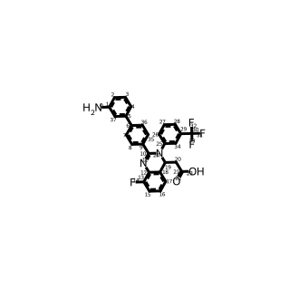 Nc1cccc(-c2ccc(C3=Nc4c(F)cccc4C(CC(=O)O)N3c3cccc(C(F)(F)F)c3)cc2)c1